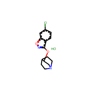 Cl.Clc1ccc2c(OC3CN4CCC3CC4)noc2c1